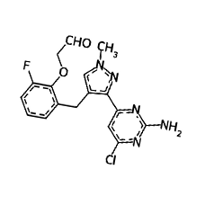 Cn1cc(Cc2cccc(F)c2OCC=O)c(-c2cc(Cl)nc(N)n2)n1